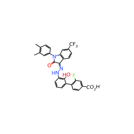 Cc1ccc(N2C(=O)/C(=N\Nc3cccc(-c4ccc(C(=O)O)cc4F)c3O)c3ccc(C(F)(F)F)cc32)cc1C